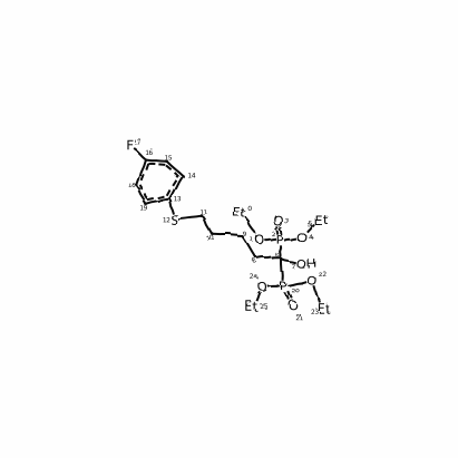 CCOP(=O)(OCC)C(O)(CCCCSc1ccc(F)cc1)P(=O)(OCC)OCC